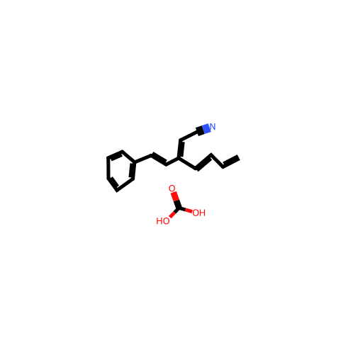 C=CC=CC(C=Cc1ccccc1)=CC#N.O=C(O)O